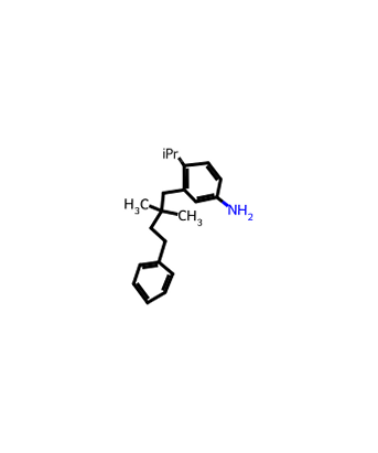 CC(C)c1ccc(N)cc1CC(C)(C)CCc1ccccc1